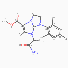 CCCOC(=O)C1=C(CC)N(C(C(N)=O)C(F)(F)F)C2N1CCN2c1c(C)cc(C)cc1C